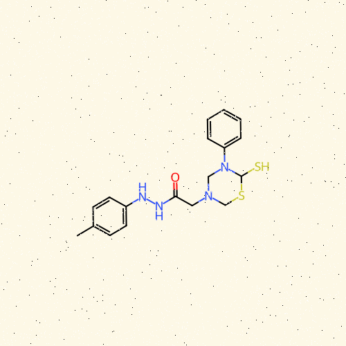 Cc1ccc(NNC(=O)CN2CSC(S)N(c3ccccc3)C2)cc1